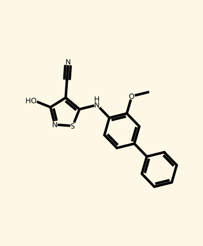 COc1cc(-c2ccccc2)ccc1Nc1snc(O)c1C#N